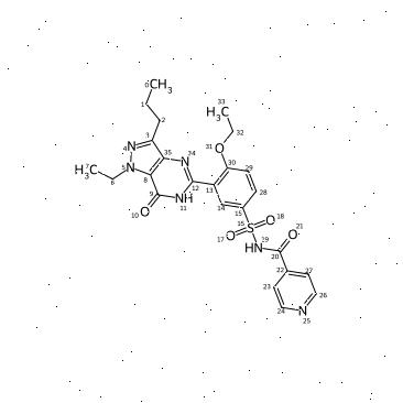 CCCc1nn(CC)c2c(=O)[nH]c(-c3cc(S(=O)(=O)NC(=O)c4ccncc4)ccc3OCC)nc12